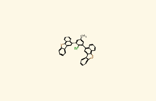 Cc1cc(-c2cc3c4ccccc4sc3c3ccccc23)c(Br)c(-c2cc3c4ccccc4sc3c3ccccc23)c1